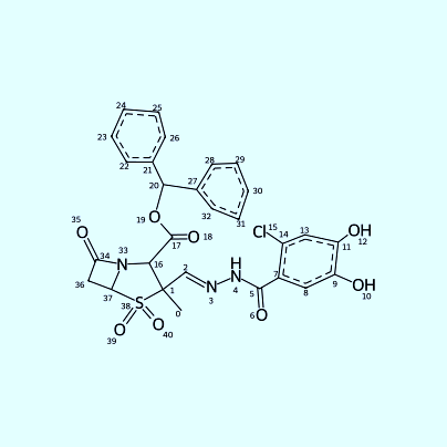 CC1(/C=N/NC(=O)c2cc(O)c(O)cc2Cl)C(C(=O)OC(c2ccccc2)c2ccccc2)N2C(=O)CC2S1(=O)=O